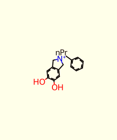 CCC[N+]1(Cc2ccccc2)Cc2cc(O)c(O)cc2C1